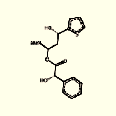 CNC(C[C@H](O)c1cccs1)OC(=O)[C@@H](O)c1ccccc1